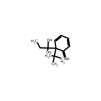 CCC(O)(O)C1(C(C)(C)C)C=[C]C=CC1=N